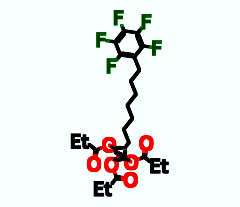 CCC(=O)O[Si](CCCCCCCc1c(F)c(F)c(F)c(F)c1F)(OC(=O)CC)OC(=O)CC